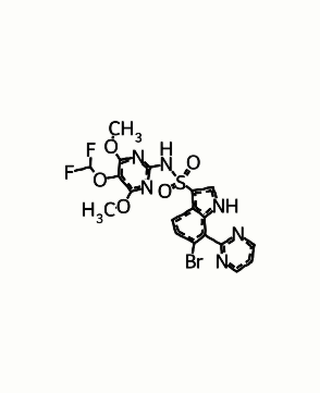 COc1nc(NS(=O)(=O)c2c[nH]c3c(-c4ncccn4)c(Br)ccc23)nc(OC)c1OC(F)F